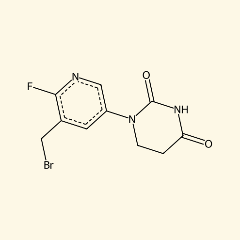 O=C1CCN(c2cnc(F)c(CBr)c2)C(=O)N1